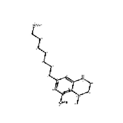 CNCCCCCCCc1cc2c(c(OC)c1)N(C)CCN2